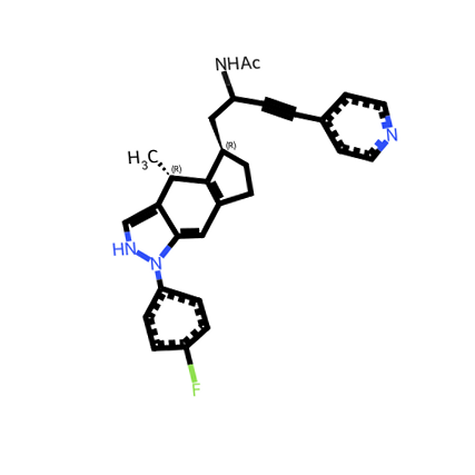 CC(=O)NC(C#Cc1ccncc1)C[C@H]1CCC2=C1[C@@H](C)C1=CNN(c3ccc(F)cc3)C1=C2